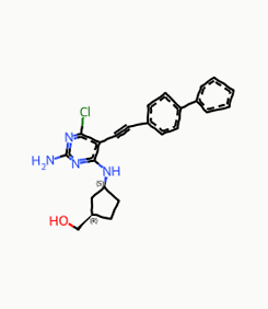 Nc1nc(Cl)c(C#Cc2ccc(-c3ccccc3)cc2)c(N[C@H]2CC[C@@H](CO)C2)n1